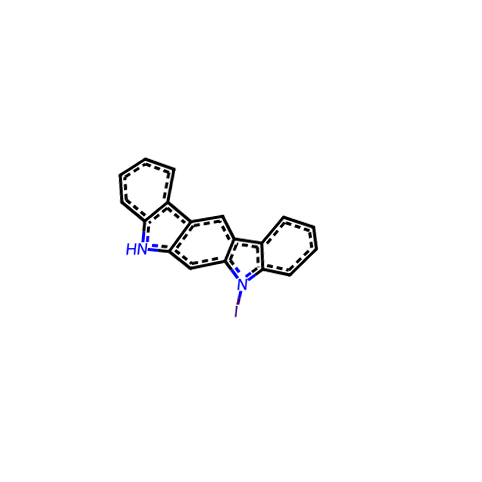 In1c2ccccc2c2cc3c(cc21)[nH]c1ccccc13